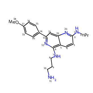 [CH2]CCNc1ccc2c(NCCCN)nc(-c3ccc(OC)cc3)cc2n1